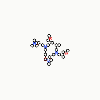 c1ccc(-c2ccc(-c3ccc(N(c4ccc(-c5ccc(-c6ccccc6-n6c7ccccc7c7ccccc76)cc5)cc4)c4ccc(-c5cc(-c6cc(-c7ccc(N(c8ccc(-c9ccc(-c%10ccccc%10-n%10c%11ccccc%11c%11ccccc%11%10)cc9)cc8)c8ccc(-c9ccccc9-c9cccc%10c9oc9ccccc9%10)cc8)cc7)c7ccccc7c6)ccc5-c5cccc6c5oc5ccccc56)cc4)cc3)cc2)cc1